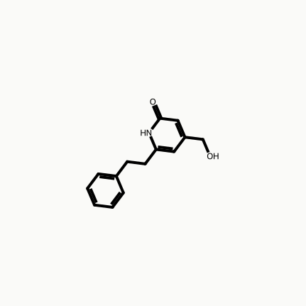 O=c1cc(CO)cc(CCc2ccccc2)[nH]1